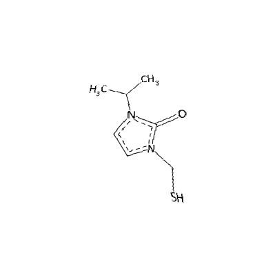 CC(C)n1ccn(CS)c1=O